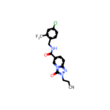 N#CCCn1nc2ccc(C(=O)NCc3ccc(Cl)cc3C(F)(F)F)cn2c1=O